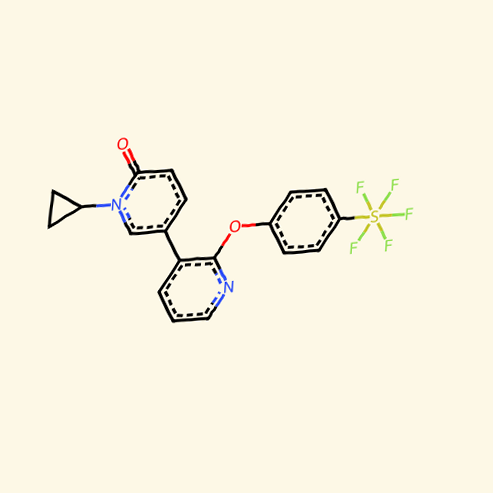 O=c1ccc(-c2cccnc2Oc2ccc(S(F)(F)(F)(F)F)cc2)cn1C1CC1